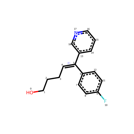 OCCC/C=C(\c1ccc(F)cc1)c1cccnc1